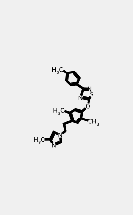 Cc1ccc(-c2nsc(Oc3cc(C)c(CCn4cnc(C)c4)cc3C)n2)cc1